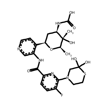 C[C@H]1O[C@@H](c2ccncc2NC(=O)c2ccc(F)c(N3CCSC(O)(O)C3)n2)C[C@@H](NC(=O)O)[C@]1(C)O